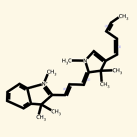 C/C=C\C=C/C1=CN(C)/C(=C\C=C\C2=[N+](C)c3ccccc3C2(C)C)C1(C)C